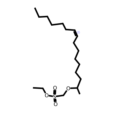 CCCCCC/C=C\CCCCCCC(C)OCS(=O)(=O)OCC